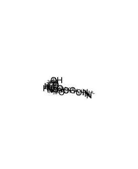 [N-]=[N+]=NCCOCCOCCOCC(=O)Oc1ccc2c3c1O[C@H]1[C@@H](O)C=C[C@H]4[C@@H](C2)NCC[C@@]341